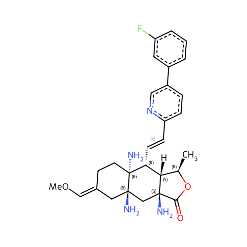 COC=C1CC[C@@]2(N)[C@H](/C=C/c3ccc(-c4cccc(F)c4)cn3)[C@@H]3[C@@H](C)OC(=O)[C@]3(N)C[C@]2(N)C1